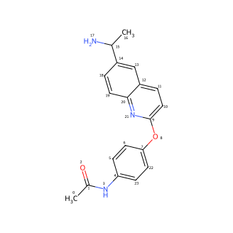 CC(=O)Nc1ccc(Oc2ccc3cc(C(C)N)ccc3n2)cc1